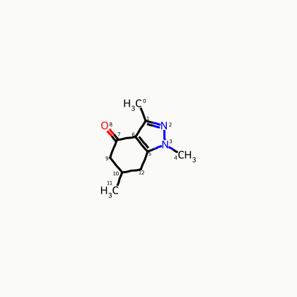 Cc1nn(C)c2c1C(=O)CC(C)C2